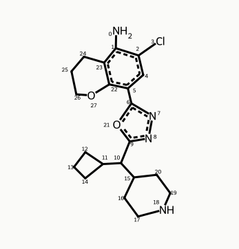 Nc1c(Cl)cc(-c2nnc(C(C3CCC3)C3CCNCC3)o2)c2c1CCCO2